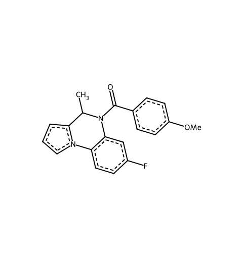 COc1ccc(C(=O)N2c3cc(F)ccc3-n3cccc3C2C)cc1